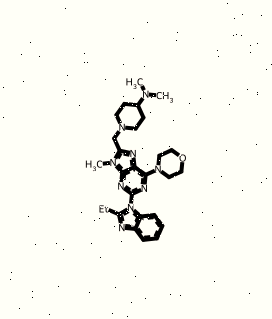 CCc1nc2ccccc2n1-c1nc(N2CCOCC2)c2nc(CN3CCC(N(C)C)CC3)n(C)c2n1